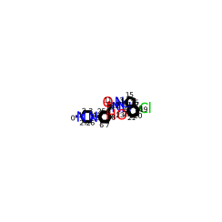 CN1CCN(c2cccc(C(=O)N/N=C3/CCc4c(Cl)ccc(O)c43)c2)CC1